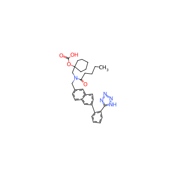 CCCCC(=O)N(Cc1ccc2cc(-c3ccccc3-c3nnn[nH]3)ccc2c1)CC1(OC(=O)O)CCCCC1